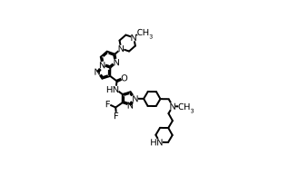 CN1CCN(c2ccn3ncc(C(=O)Nc4cn(C5CCC(CN(C)CCC6CCNCC6)CC5)nc4C(F)F)c3n2)CC1